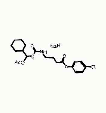 CC(=O)OC(OC(=O)NCCCC(=O)Oc1ccc(Cl)cc1)C1CCCCC1.[NaH]